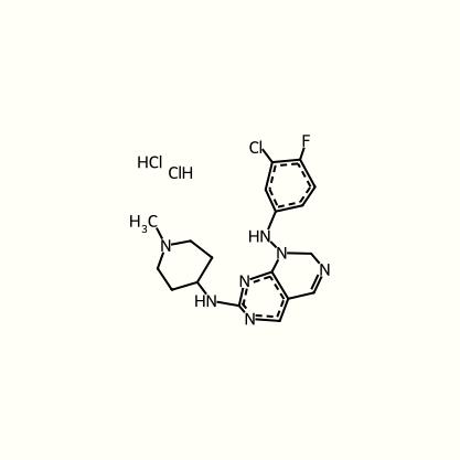 CN1CCC(Nc2ncc3c(n2)N(Nc2ccc(F)c(Cl)c2)CN=C3)CC1.Cl.Cl